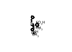 CC1(c2cccc(NS(C)(=O)=O)c2)C2CN(CCCc3ccccc3)CC21.Cc1ccc(S(=O)(=O)O)cc1